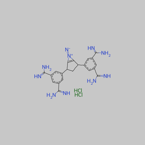 Cl.Cl.[N-]=[N+]1C2=C1C(c1cc(C(=N)N)cc(C(=N)N)c1)CC2c1cc(C(=N)N)cc(C(=N)N)c1